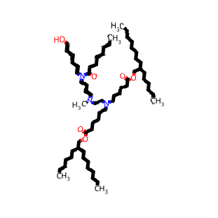 CCCCCCCCC(CCCCCC)COC(=O)CCCCCN(CCCCCC(=O)OCC(CCCCCC)CCCCCCCC)CCN(C)CCCCN(CCCCCCO)C(=O)CCCCCCC